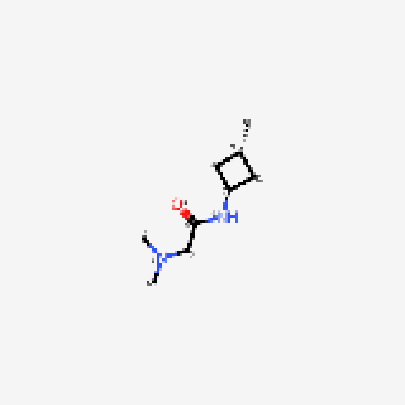 CN(C)CC(=O)N[C@H]1C[C@H](C)C1